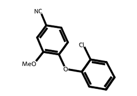 COc1cc(C#N)ccc1Oc1ccccc1Cl